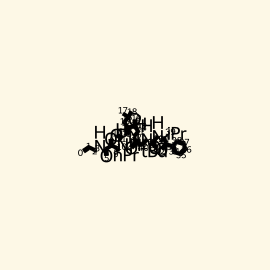 C=CCNC(=O)C(=O)C(CCC)NC(=O)[C@@H]1[C@H]2CC(C)(C)O[C@H]2CN1C(=O)[C@@H](NC(=O)N[C@H](C(=O)c1ccccc1)C(C)C)C(C)(C)C